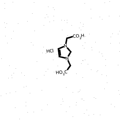 Cl.O=C(O)CN1C=CN(CC(=O)O)C1